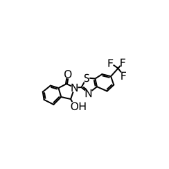 O=C1c2ccccc2C(O)N1c1nc2ccc(C(F)(F)F)cc2s1